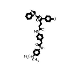 CN(C)c1ccc(NC(=O)Cc2ccc(NC(=O)CCc3oc(-n4cnc5ccccc54)nc3-c3ccc(Cl)cc3)cc2)cc1